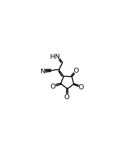 N#CC(C=N)=C1C(=O)C(=O)C(=O)C1=O